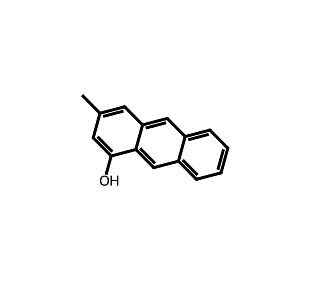 Cc1cc(O)c2cc3ccccc3cc2c1